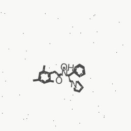 Cc1cc(C)c(CC(=O)N(O)[C@H](CN2CCCC2)c2ccccc2)c(C)c1